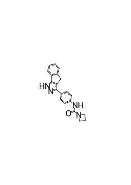 O=C(Nc1ccc(-c2n[nH]c3c2Cc2ccccc2-3)cc1)N1CCC1